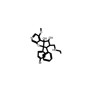 CCNCC1C(O)C2(O)c3c(OC)cncc3OC2(c2ccc(Br)cc2)C1c1ccccc1